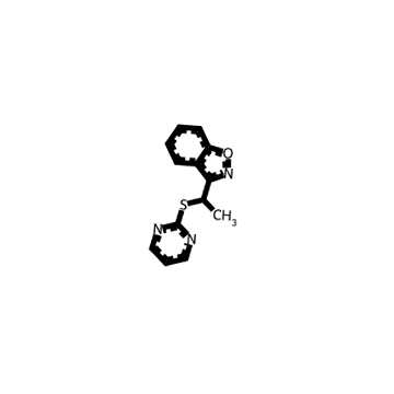 CC(Sc1ncccn1)c1noc2ccccc12